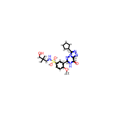 CCOc1ccc(S(=O)(=O)NCC(C)(C)CO)cc1-c1nn2c(C3CCCC3)nnc2c(=O)[nH]1